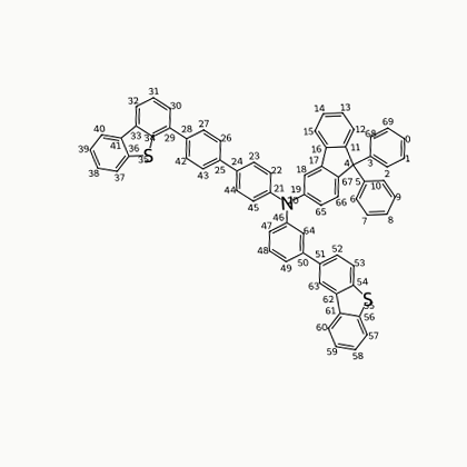 c1ccc(C2(c3ccccc3)c3ccccc3-c3cc(N(c4ccc(-c5ccc(-c6cccc7c6sc6ccccc67)cc5)cc4)c4cccc(-c5ccc6sc7ccccc7c6c5)c4)ccc32)cc1